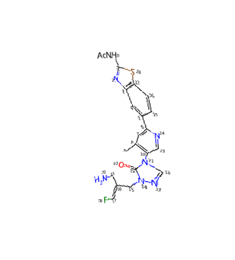 CC(=O)Nc1nc2cc(-c3cc(C)c(-n4cnn(C/C(=C/F)CN)c4=O)cn3)ccc2s1